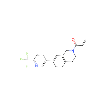 C=CC(=O)N1CCc2ccc(-c3ccc(C(F)(F)F)nc3)cc2C1